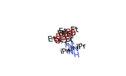 CCO[Si](CCCN(CCC[Si](OCC)(OCC)OCC)/C(=N\C(C)C)NC(C)C)(OCC)OCC